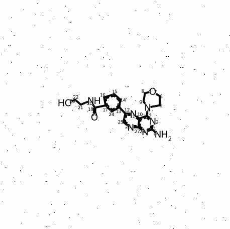 Nc1nc(N2CCOCC2)c2nc(-c3cccc(C(=O)NCCO)c3)cnc2n1